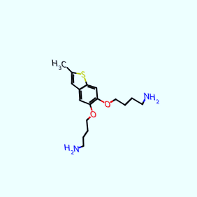 Cc1cc2cc(OCCCCN)c(OCCCCN)cc2s1